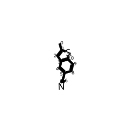 Cc1cc2cc(C#N)ccc2s1